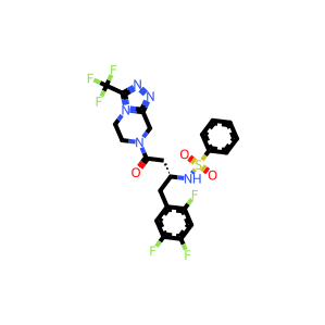 O=C(C[C@@H](Cc1cc(F)c(F)cc1F)NS(=O)(=O)c1ccccc1)N1CCn2c(nnc2C(F)(F)F)C1